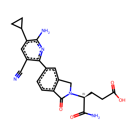 N#Cc1cc(C2CC2)c(N)nc1-c1ccc2c(c1)CN([C@@H](CCC(=O)O)C(N)=O)C2=O